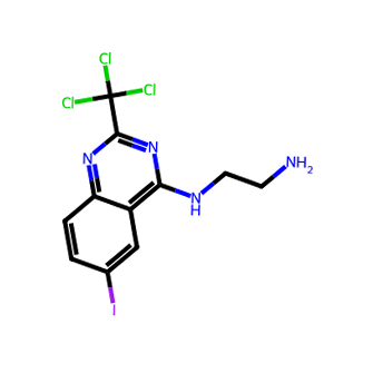 NCCNc1nc(C(Cl)(Cl)Cl)nc2ccc(I)cc12